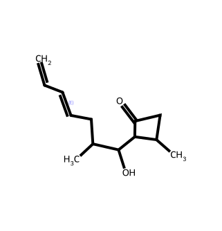 C=C/C=C/CC(C)C(O)C1C(=O)CC1C